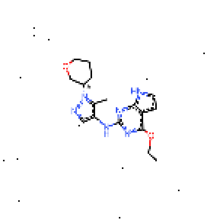 CCOc1nc(Nc2cnn([C@H]3CCCOC3)c2C)nc2[nH]ccc12